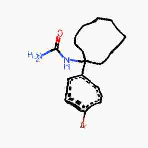 NC(=O)NC1(c2ccc(Br)cc2)CCCCCCC1